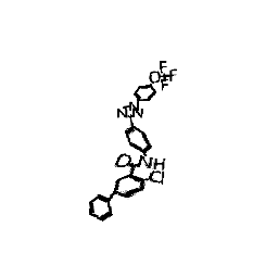 O=C(Nc1ccc(-c2ncn(-c3ccc(OC(F)(F)F)cc3)n2)cc1)c1cc(-c2ccccc2)ccc1Cl